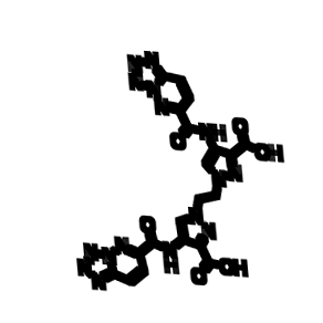 O=C(Nc1cn(CCn2cc(NC(=O)c3ccc4nnnn4n3)c(C(=O)O)n2)nc1C(=O)O)c1ccc2nnnn2n1